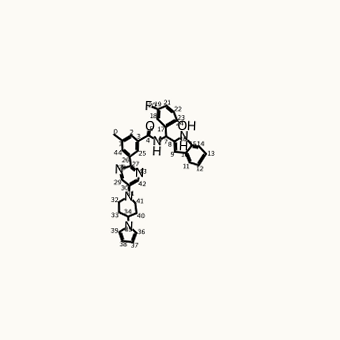 Cc1cc(C(=O)NC(c2cc3ccccc3[nH]2)c2cc(F)ccc2O)cc(-c2ncc(N3CCC(n4cccc4)CC3)cn2)c1